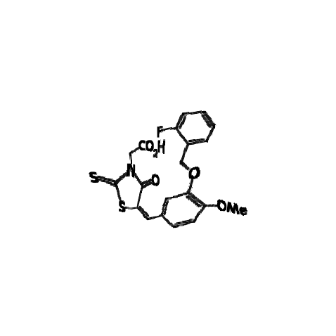 COc1ccc(C=C2SC(=S)N(CC(=O)O)C2=O)cc1OCc1ccccc1F